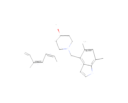 C=C/C(=C\C=C(/C)[C@@H]1C[C@@H](O)CCN1Cc1c(OC)cc(C)c2[nH]ccc12)C(=O)O